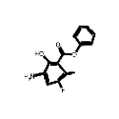 Cc1c(F)cc(N)c(O)c1C(=O)Oc1ccccc1